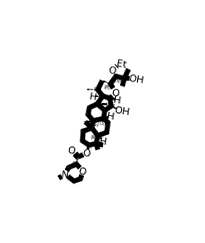 CCO[C@@H]([C@H]1C[C@@H](C)[C@H]2[C@H](O1)[C@H](O)C1[C@@H]3CC[C@H]4C(C)(C)[C@@H](OC(=O)[C@H]5CN(C)CCO5)CCC45C[C@@]35CC[C@@]12C)C(C)(C)O